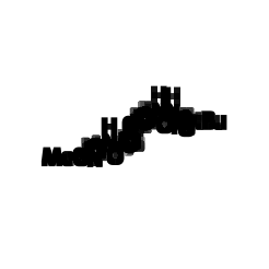 COc1ccc(NC(=O)c2cccc(Oc3ccc(NC(=O)Nc4cc(C(C)(C)C)on4)cc3)c2)cn1